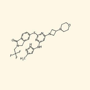 Cc1cc(Nc2cc(N3CC(N4CCOCC4)C3)nc(Sc3ccc4c(c3)CN(CC(F)(F)F)C4=O)n2)[nH]n1